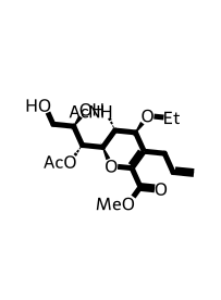 C=CCC1=C(C(=O)OC)O[C@@H]([C@H](OC(C)=O)[C@H](O)CO)[C@H](NC(C)=O)[C@H]1OCC